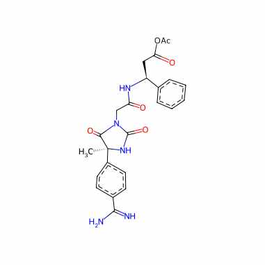 CC(=O)OC(=O)C[C@H](NC(=O)CN1C(=O)N[C@@](C)(c2ccc(C(=N)N)cc2)C1=O)c1ccccc1